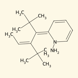 C/C=C(\C(=C1\C=CC=CN1N)C(C)(C)C)C(C)(C)C